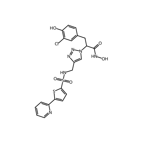 O=C(NO)C(Cc1ccc(O)c(Cl)c1)n1cc(CNS(=O)(=O)c2ccc(-c3ccccn3)s2)nn1